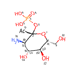 CC(=O)C1(OP(=O)(O)O)O[C@H](CO)[C@@H](O)[C@H](O)[C@H]1N